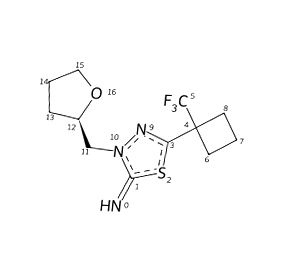 N=c1sc(C2(C(F)(F)F)CCC2)nn1C[C@H]1CCCO1